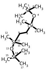 C[Si](C)(C)O[Si](C)(C)CC[Si](C)(C)O[Si](C)(C)C